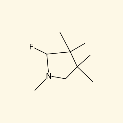 CN1CC(C)(C)C(C)(C)C1F